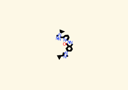 O=c1c2cc(-n3cnc(C4CC4)c3)ccc2cnn1-c1cccc(-c2nncn2C2CC2)n1